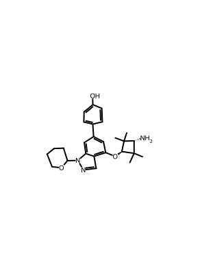 CC1(C)[C@H](N)C(C)(C)[C@H]1Oc1cc(-c2ccc(O)cc2)cc2c1cnn2C1CCCCO1